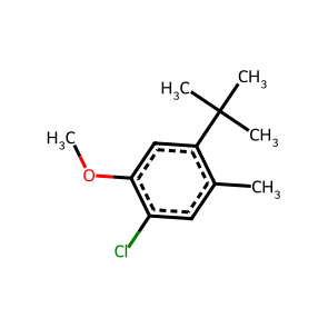 COc1cc(C(C)(C)C)c(C)cc1Cl